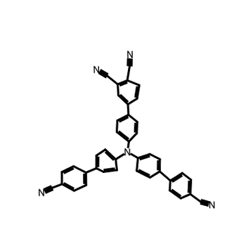 N#Cc1ccc(-c2ccc(N(c3ccc(-c4ccc(C#N)cc4)cc3)c3ccc(-c4ccc(C#N)c(C#N)c4)cc3)cc2)cc1